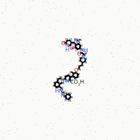 Cc1c(OCCCC2CCN([C@H](C)C(=O)Nc3ccc4c(C5CCC(=O)NC5=O)nn(C)c4c3)CC2)cccc1-c1ccc(N2CCc3cccc(CNc4nc5ccccc5s4)c3C2)nc1C(=O)O